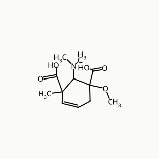 COC1(C(=O)O)CC=CC(C)(C(=O)O)C1N(C)C